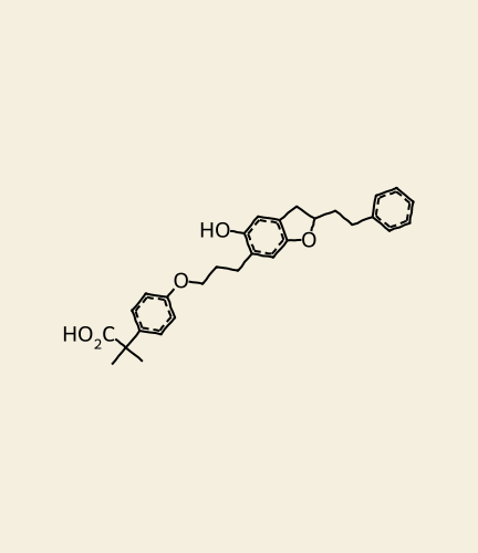 CC(C)(C(=O)O)c1ccc(OCCCc2cc3c(cc2O)CC(CCc2ccccc2)O3)cc1